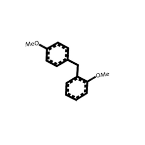 COc1ccc(Cc2cc[c]cc2OC)cc1